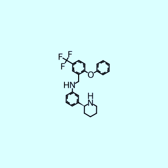 FC(F)(F)c1ccc(Oc2ccccc2)c(CNc2cccc([C@@H]3CCCCN3)c2)c1